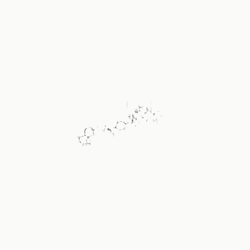 C=CC(=O)NC1C(C)CN(S(=O)(=O)c2ccc(C(=O)NCCc3ccc4cccnc4c3)cc2)CC1C